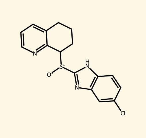 [O-][S+](c1nc2cc(Cl)ccc2[nH]1)C1CCCc2cccnc21